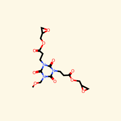 COCn1c(=O)n(CCC(=O)OCC2CO2)c(=O)n(CCC(=O)OCC2CO2)c1=O